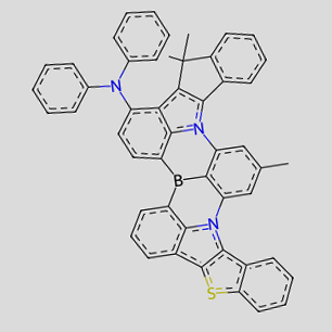 Cc1cc2c3c(c1)-n1c4c(cccc4c4sc5ccccc5c41)B3c1ccc(N(c3ccccc3)c3ccccc3)c3c4c(n-2c13)-c1ccccc1C4(C)C